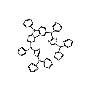 c1ccc(N(c2ccccc2)c2cnc(N(c3ccccc3)c3ccc4c(c3)c3cc(N(c5ccccc5)c5ncc(N(c6ccccc6)c6ccccc6)s5)ccc3n4-c3ccccc3)s2)cc1